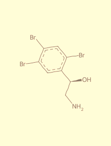 NC[C@H](O)c1cc(Br)c(Br)cc1Br